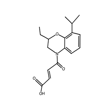 CCC1CN(C(=O)C=CC(=O)O)c2cccc(C(C)C)c2O1